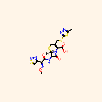 CON=C(C(=O)NC1C(=O)N2C(C(=O)O)=C(CSc3nnc(C)s3)CS[C@@H]12)c1csnn1